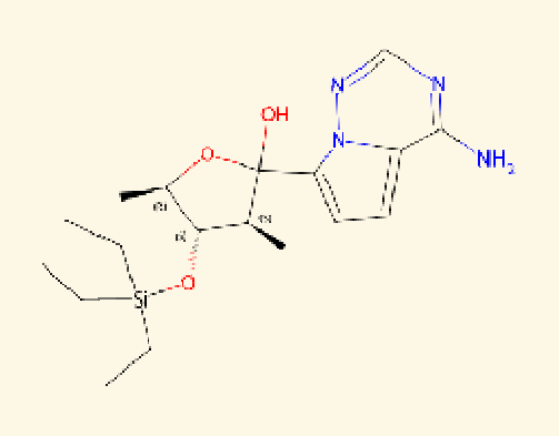 CC[Si](CC)(CC)O[C@@H]1[C@@H](C)OC(O)(c2ccc3c(N)ncnn23)[C@H]1C